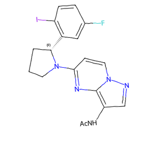 CC(=O)Nc1cnn2ccc(N3CCC[C@@H]3c3cc(F)ccc3I)nc12